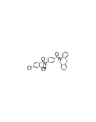 O=C(Nc1ccc(C(=O)N2Cc3ccccc3Cc3ccccc32)cc1)c1ccc(Cl)cc1Cl